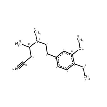 COc1ccc(CCN(C)C(C)CC#N)cc1OC